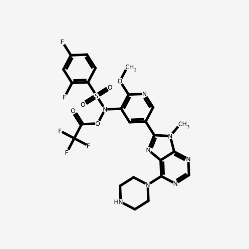 COc1ncc(-c2nc3c(N4CCNCC4)ncnc3n2C)cc1N(OC(=O)C(F)(F)F)S(=O)(=O)c1ccc(F)cc1F